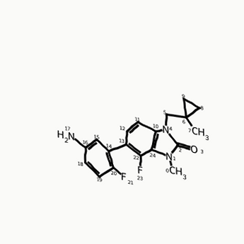 Cn1c(=O)n(CC2(C)CC2)c2ccc(-c3cc(N)ccc3F)c(F)c21